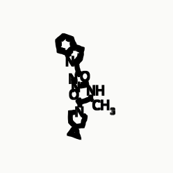 C[C@H](Nc1nnc(-c2ccc3ccccc3n2)o1)C(=O)N1CCC2(CC1)CC2